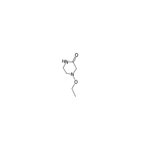 CCON1CCNC(=O)C1